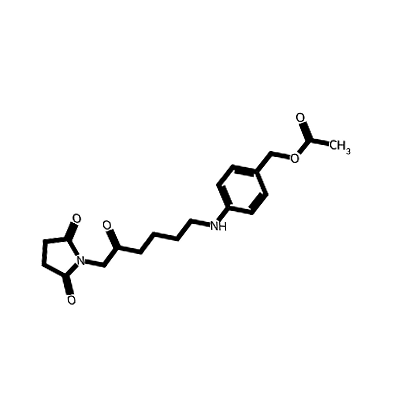 CC(=O)OCc1ccc(NCCCCC(=O)CN2C(=O)CCC2=O)cc1